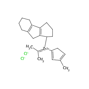 CC1=CC[C]([Zr+2](=[C](C)C)[CH]2CCCC3=C2CC2=C3CCCC2)=C1.[Cl-].[Cl-]